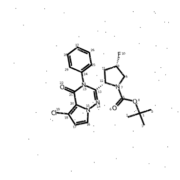 CC(C)(C)OC(=O)N1C[C@@H](F)C[C@H]1c1nn2ccc(Cl)c2c(=O)n1-c1ccccc1